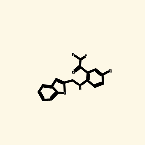 O=C(c1cc(Cl)ccc1NCc1cc2ccccc2o1)C(F)F